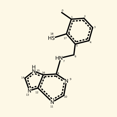 Cc1cccc(CNc2ncnc3nc[nH]c23)c1S